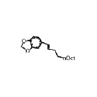 CCCCCCCCCCC=Cc1ccc2c(c1)OCO2